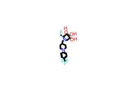 O[C@H]1[C@H](O)[C@@H](O)CN(CC2CCN(c3ccc(C(F)(F)F)cc3)CC2)[C@@H]1CF